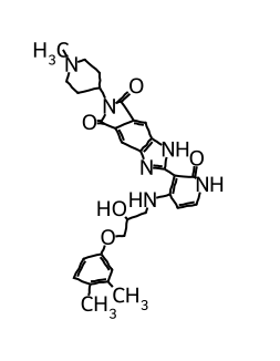 Cc1ccc(OCC(O)CNc2cc[nH]c(=O)c2-c2nc3cc4c(cc3[nH]2)C(=O)N(C2CCN(C)CC2)C4=O)cc1C